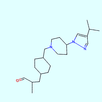 CC(C=O)CC1CCC(CN2CCC(n3cc(C(C)C)cn3)CC2)CC1